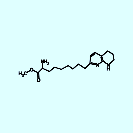 COC(=O)C(N)CCCCCCCc1ccc2c(n1)NCCC2